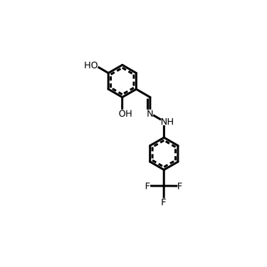 Oc1ccc(C=NNc2ccc(C(F)(F)F)cc2)c(O)c1